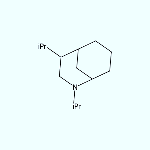 CC(C)C1CN(C(C)C)C2CCCC1C2